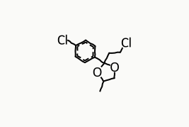 CC1COC(CCCl)(c2ccc(Cl)cc2)O1